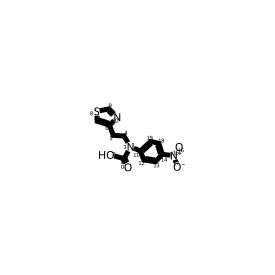 O=C(O)N(CCc1cscn1)c1ccc([N+](=O)[O-])cc1